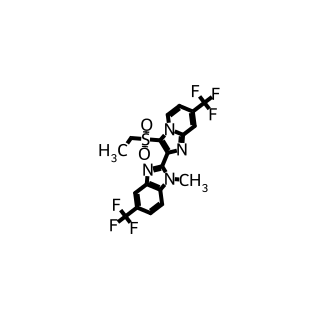 CCS(=O)(=O)c1c(-c2nc3cc(C(F)(F)F)ccc3n2C)nc2cc(C(F)(F)F)ccn12